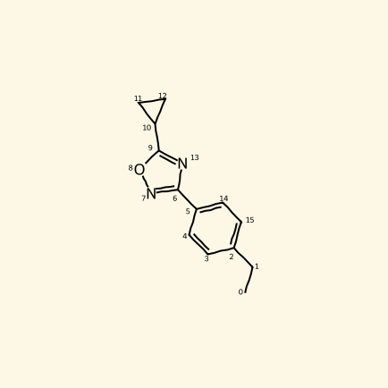 CCc1ccc(-c2noc(C3CC3)n2)cc1